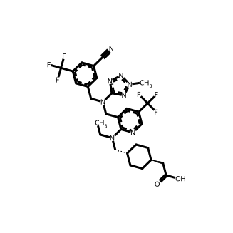 CCN(C[C@H]1CC[C@H](CC(=O)O)CC1)c1ncc(C(F)(F)F)cc1CN(Cc1cc(C#N)cc(C(F)(F)F)c1)c1nnn(C)n1